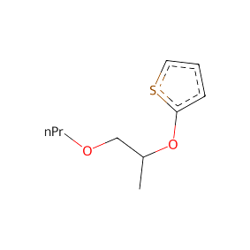 CCCOCC(C)Oc1cccs1